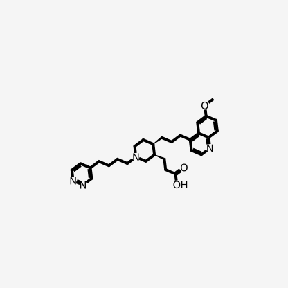 COc1ccc2nccc(CCC[C@@H]3CCN(CCCCc4ccnnc4)C[C@@H]3CCC(=O)O)c2c1